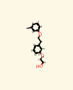 Cc1cccc(OCCc2cccc(OCCO)c2)c1